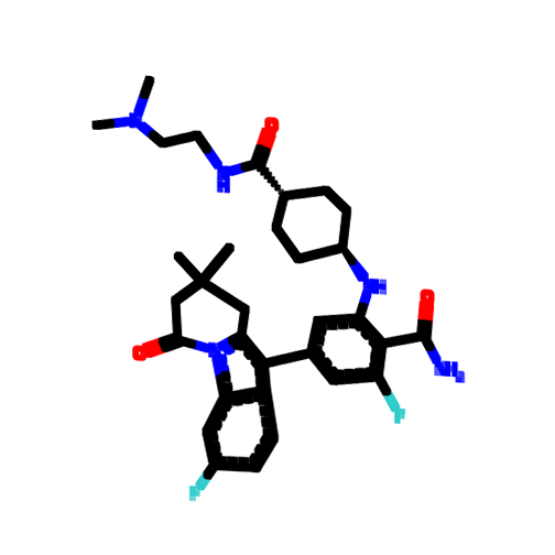 CN(C)CCNC(=O)[C@H]1CC[C@H](Nc2cc(-c3c4n(c5cc(F)ccc35)C(=O)CC(C)(C)C4)cc(F)c2C(N)=O)CC1